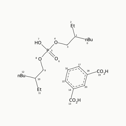 CCCCC(CC)COP(=O)(O)OCC(CC)CCCC.O=C(O)c1cccc(C(=O)O)c1